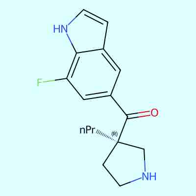 CCC[C@@]1(C(=O)c2cc(F)c3[nH]ccc3c2)CCNC1